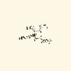 C=CC(O)N(CCCCC)CCC(=O)O